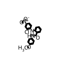 COc1ccc(NC(=O)c2ccccc2Nc2ccc([N+](=O)[O-])cc2Cl)cc1